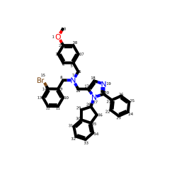 COc1ccc(CN(Cc2ccccc2Br)Cc2cnc(-c3ccccc3)n2C2Cc3ccccc3C2)cc1